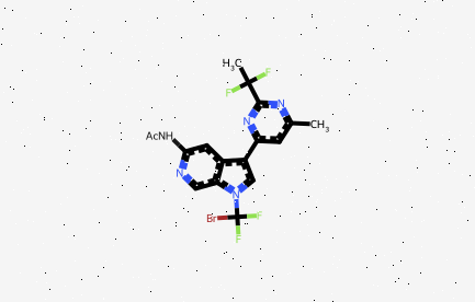 CC(=O)Nc1cc2c(-c3cc(C)nc(C(C)(F)F)n3)cn(C(F)(F)Br)c2cn1